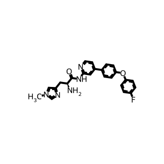 Cn1cnc(C[C@H](N)C(=O)Nc2cc(-c3ccc(Oc4ccc(F)cc4)cc3)ccn2)c1